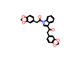 O=C(Cc1ccc2c(c1)OCO2)c1cn(C(=O)Cc2ccc3c(c2)OCO3)c2ccccc12